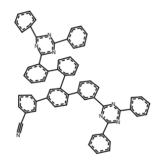 N#Cc1cccc(-c2ccc(-c3cccc(-c4nc(-c5ccccc5)nc(-c5ccccc5)n4)c3)c(-c3ccccc3-c3ccccc3-c3nc(-c4ccccc4)nc(-c4ccccc4)n3)c2)c1